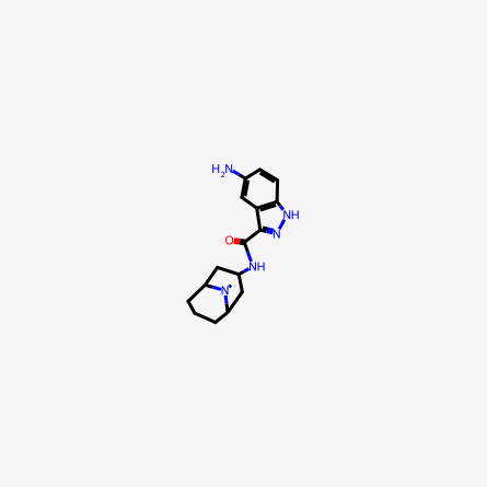 CN1C2CCCC1CC(NC(=O)c1n[nH]c3ccc(N)cc13)C2